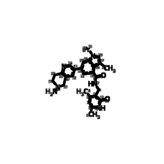 Cc1cc(C)c(CNC(=O)c2cc(-c3cnc4c(c3)CN(N)CC4)cc3c2c(C)cn3C(C)C)c(=O)[nH]1